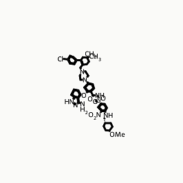 CO[C@H]1CC[C@H](CNc2ccc(S(=O)(=O)NC(=O)c3ccc(N4CCN(CC5=C(c6ccc(Cl)cc6)CC(C)(C)CC5)CC4)cc3Oc3cccc4[nH]nc(N)c34)cc2[N+](=O)[O-])CC1